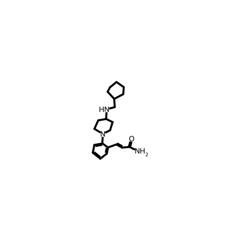 NC(=O)/C=C/c1ccccc1N1CCC(NCC2CCCCC2)CC1